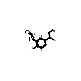 CCC(C)c1ccc(C)c(NC=O)c1